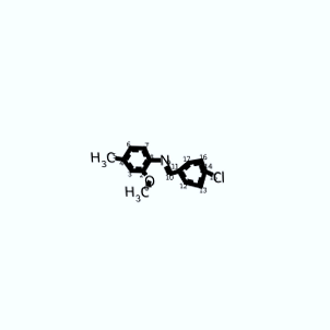 COc1cc(C)ccc1/N=C/c1ccc(Cl)cc1